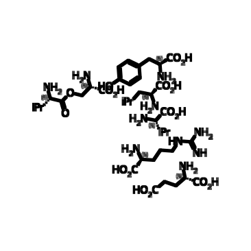 CC(C)C[C@H](N)C(=O)O.CC(C)[C@H](N)C(=O)O.CC(C)[C@H](N)C(=O)OC[C@H](N)C(=O)O.N=C(N)NCCC[C@H](N)C(=O)O.N[C@@H](CCC(=O)O)C(=O)O.N[C@@H](Cc1ccc(O)cc1)C(=O)O